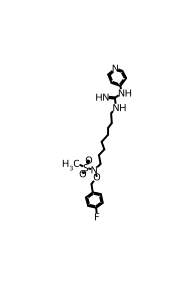 CS(=O)(=O)N(CCCCCCCCNC(=N)Nc1ccncc1)OCc1ccc(F)cc1